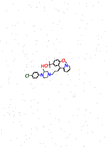 CC1CN(CCC=C2C3=CC=CCN3COc3ccc(C(C)(C)O)cc32)CCN1c1ccc(Cl)cc1